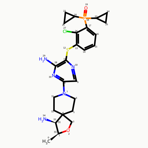 C[C@@H]1OCC2(CCN(c3cnc(Sc4cccc(P(=O)(C5CC5)C5CC5)c4Cl)c(N)n3)CC2)[C@@H]1N